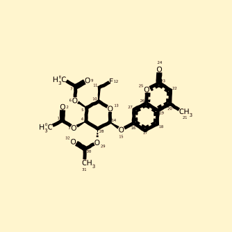 CC(=O)O[C@H]1[C@@H](OC(C)=O)[C@@H](CF)O[C@@H](Oc2ccc3c(C)cc(=O)oc3c2)[C@@H]1OC(C)=O